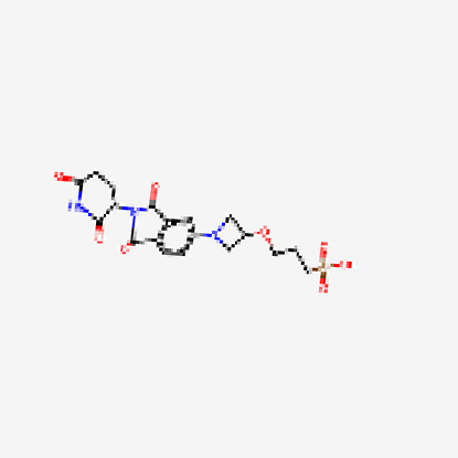 O=C1CCC(N2C(=O)c3ccc(N4CC(OCCCS(=O)(=O)O)C4)cc3C2=O)C(=O)N1